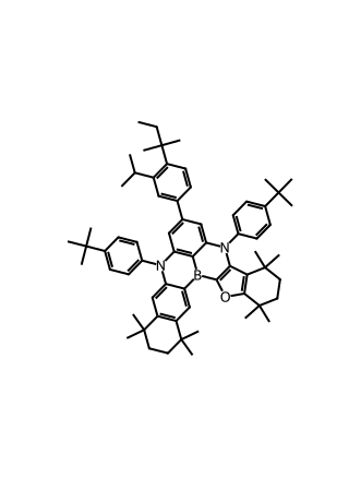 CCC(C)(C)c1ccc(-c2cc3c4c(c2)N(c2ccc(C(C)(C)C)cc2)c2c(oc5c2C(C)(C)CCC5(C)C)B4c2cc4c(cc2N3c2ccc(C(C)(C)C)cc2)C(C)(C)CCC4(C)C)cc1C(C)C